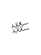 CCCCC(=O)CC(=O)OC(C)C.CCCCC(=O)CC(=O)OC(C)C